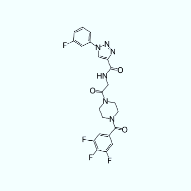 O=C(NCC(=O)N1CCN(C(=O)c2cc(F)c(F)c(F)c2)CC1)c1cn(-c2cccc(F)c2)nn1